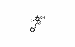 Cc1nc(Cl)c2c(c1O)COC2CCc1ccccc1